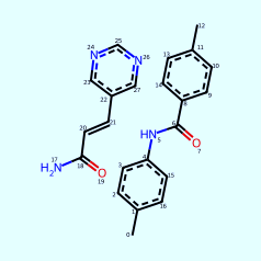 Cc1ccc(NC(=O)c2ccc(C)cc2)cc1.NC(=O)C=Cc1cncnc1